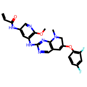 C=CC(=O)Nc1cnc(OC)c(Nc2ncc3c(n2)N(C)CC(Oc2ccc(F)cc2F)=C3)c1